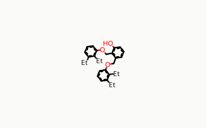 CCc1cccc(OCc2cccc(O)c2COc2cccc(CC)c2CC)c1CC